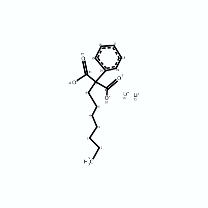 CCCCCCCC(C(=O)[O-])(C(=O)[O-])c1ccccc1.[Li+].[Li+]